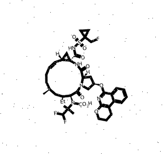 CC[C@@H]1C[C@@H](C)CCC=C[C@@H]2C[C@@]2(C(=O)NS(=O)(=O)C2(CF)CC2)NC(=O)[C@@H]2C[C@@H](Oc3nc4c(c5ccccc35)CCCO4)CN2C(=O)[C@H]1N(C(=O)O)C(C)(C)C(F)F